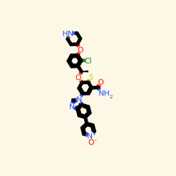 C[C@@H](OC1C=C(n2cnc3cc(-c4cc[n+]([O-])cc4)ccc32)C=C(C(N)=O)C1=S)c1cccc(OC2CCNCC2)c1Cl